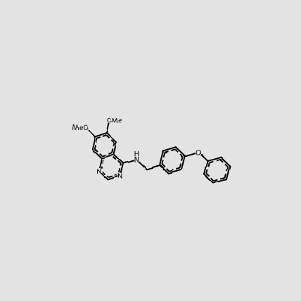 COc1cc2ncnc(NCc3ccc(Oc4ccccc4)cc3)c2cc1OC